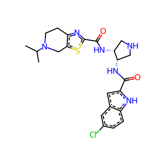 CC(C)N1CCc2nc(C(=O)N[C@@H]3CNC[C@@H]3NC(=O)c3cc4cc(Cl)ccc4[nH]3)sc2C1